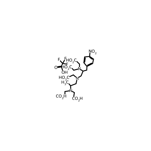 CC(CN(CC(=O)O)CC(Cc1ccc([N+](=O)[O-])cc1)N(CC(=O)O)CC(=O)O)N(CC(=O)O)CC(=O)O.O=C(O)C(F)(F)F